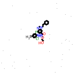 Bc1ccc(Nc2c(C(=O)NOCCO)cc3c(ncn3CCC3CCCCC3)c2F)c(Cl)c1